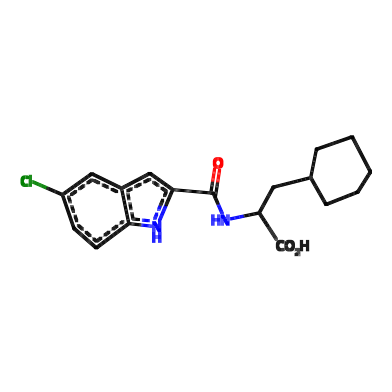 O=C(NC(CC1CCCCC1)C(=O)O)c1cc2cc(Cl)ccc2[nH]1